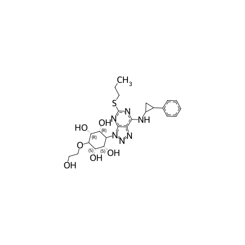 CCCSc1nc(NC2CC2c2ccccc2)c2nnn(C3[C@@H](O)[C@@H](O)C(OCCO)[C@@H](O)[C@H]3O)c2n1